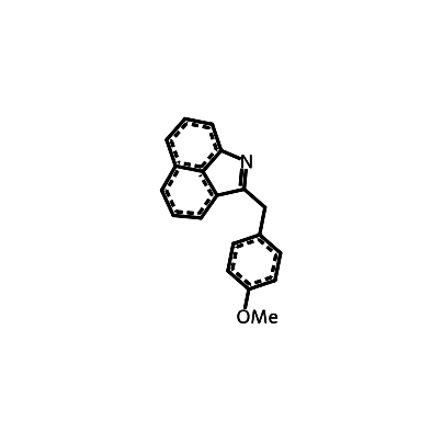 COc1ccc(CC2=Nc3cccc4cccc2c34)cc1